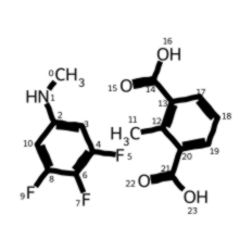 CNc1cc(F)c(F)c(F)c1.Cc1c(C(=O)O)cccc1C(=O)O